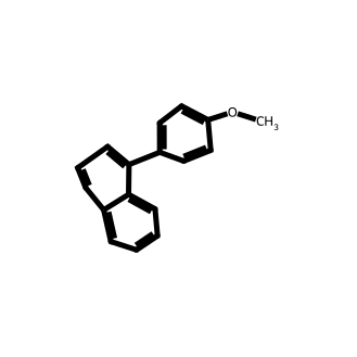 COc1ccc(-c2cccc3ccccc23)cc1